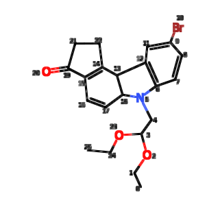 CCOC(CN1c2ccc(Br)cc2C2C3=C(C=CC21)C(=O)CC3)OCC